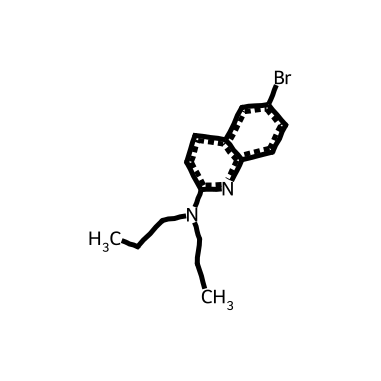 CCCN(CCC)c1ccc2cc(Br)ccc2n1